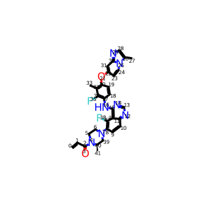 C=CC(=O)N1CCN(c2ccc3ncnc(Nc4ccc(Oc5ccn6c(C)cnc6c5)c(C)c4F)c3c2F)C[C@H]1C